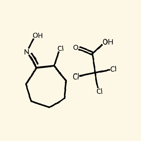 O/N=C1/CCCCCC1Cl.O=C(O)C(Cl)(Cl)Cl